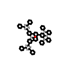 c1ccc(B2c3ccccc3N3c4ccccc4N(c4ccccc4)c4cc(-c5ccc(-c6cc(-c7nc(-c8ccccc8)nc(-c8ccccc8)n7)ccc6-n6c7ccccc7c7cc(-c8nc(-c9ccccc9)nc(-c9ccccc9)n8)ccc76)cc5)cc2c43)cc1